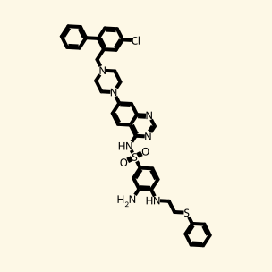 Nc1cc(S(=O)(=O)Nc2ncnc3cc(N4CCN(Cc5cc(Cl)ccc5-c5ccccc5)CC4)ccc23)ccc1NCCSc1ccccc1